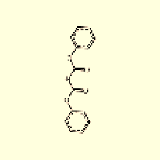 O=C([N]C(=O)Oc1ccccc1)Oc1ccccc1